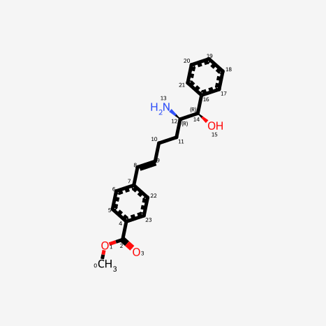 COC(=O)c1ccc(C=CCC[C@@H](N)[C@H](O)c2ccccc2)cc1